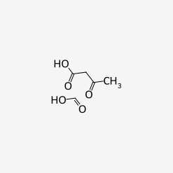 CC(=O)CC(=O)O.O=CO